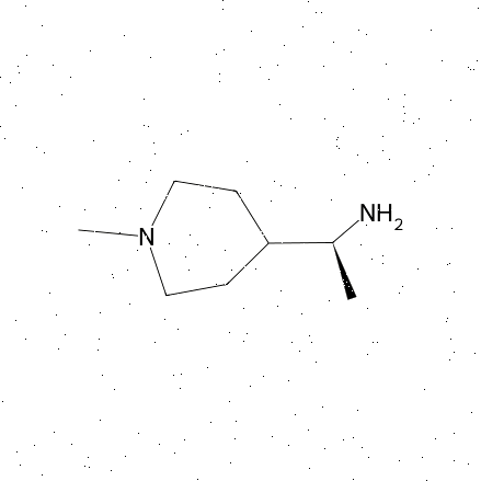 C[C@H](N)C1CCN(C)CC1